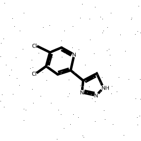 Clc1cnc(-c2c[nH]nn2)cc1Cl